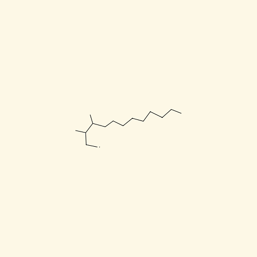 [CH2]CC(C)C(C)CCCCCCCCC